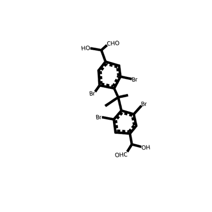 CC(C)(c1c(Br)cc(C(O)C=O)cc1Br)c1c(Br)cc(C(O)C=O)cc1Br